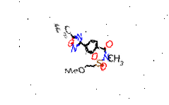 COCCS(=O)(=O)N(C)C(=O)c1ccc(-c2noc(C(F)(F)F)n2)cc1